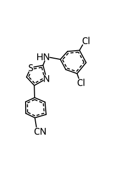 N#Cc1ccc(-c2csc(Nc3cc(Cl)cc(Cl)c3)n2)cc1